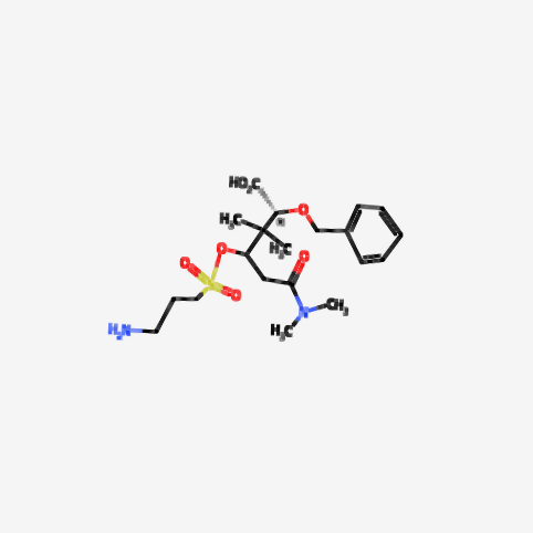 CN(C)C(=O)CC(OS(=O)(=O)CCCN)C(C)(C)[C@@H](OCc1ccccc1)C(=O)O